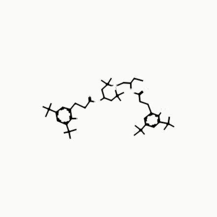 CCC(CN1C(C)(C)CC(OC(=O)CCc2cc(C(C)(C)C)cc(C(C)(C)C)c2O)CC1(C)C)OC(=O)CCc1cc(C(C)(C)C)cc(C(C)(C)C)c1O